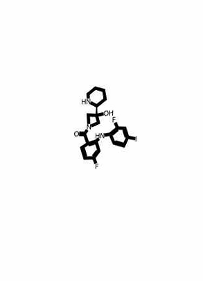 O=C(c1ccc(F)cc1Nc1ccc(I)cc1F)N1CC(O)([C@@H]2CCCCN2)C1